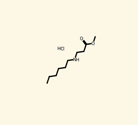 CCCCCCNCCC(=O)OC.Cl